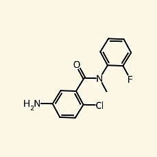 CN(C(=O)c1cc(N)ccc1Cl)c1ccccc1F